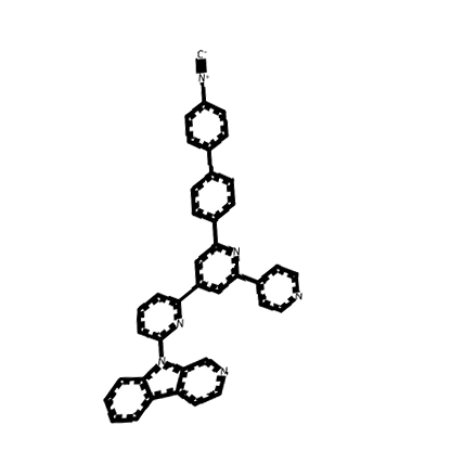 [C-]#[N+]c1ccc(-c2ccc(-c3cc(-c4cccc(-n5c6ccccc6c6ccncc65)n4)cc(-c4ccncc4)n3)cc2)cc1